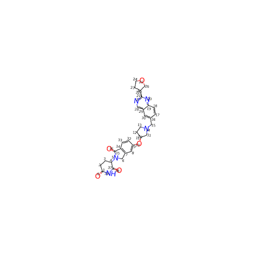 O=C1CCC(N2Cc3cc(O[C@H]4CCN(Cc5ccc6nc([C@H]7CCOC7)ncc6c5)C4)ccc3C2=O)C(=O)N1